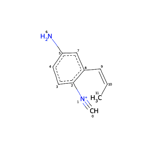 C#[N+]c1ccc(N)cc1/C=C\C